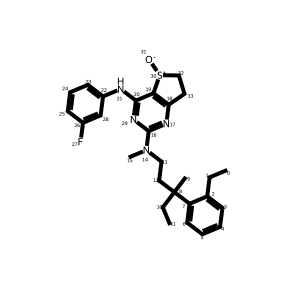 CCc1ccccc1C(C)(CC)CCN(C)c1nc2c(c(Nc3cccc(F)c3)n1)[S+]([O-])CC2